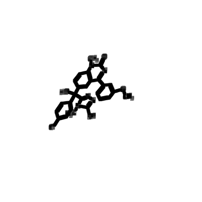 COc1cccc(-c2nc(=O)n(C)c3ccc(C(O)(c4ccc(Cl)cc4)c4nnc(S)n4C)cc23)c1